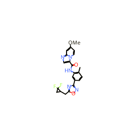 COc1ccn2c(C(=O)Nc3cc(-c4noc(CC5CC5(F)F)n4)ccc3C)cnc2c1